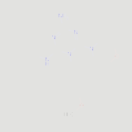 COc1ccc(N2C(N3CCOCC3)=NC(N)=NC2NC2CCCC2)cc1